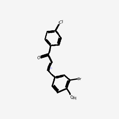 O=C(/C=C/c1ccc(O)c(Br)c1)c1ccc(Cl)cc1